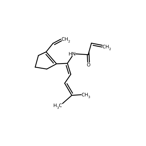 C=CC(=O)N/C(=C/C=C(C)C)C1=C(C=C)CCC1